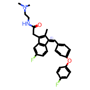 CC1=C(CC(=O)NCCN(C)C)c2cc(F)ccc2/C1=C\c1ccc(Oc2ccc(F)cc2)cc1